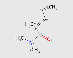 C=C/C=C(\C)C(=O)N(C)C